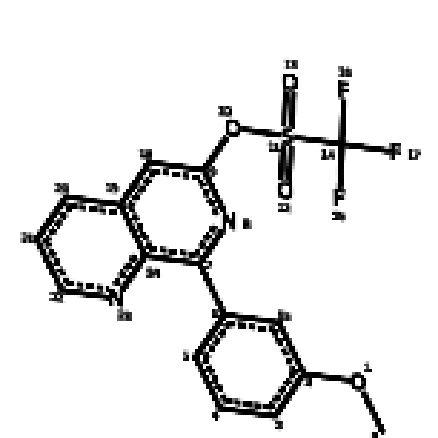 COc1cccc(-c2nc(OS(=O)(=O)C(F)(F)F)cc3cccnc23)c1